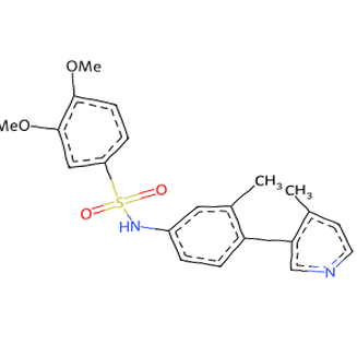 COc1ccc(S(=O)(=O)Nc2ccc(-c3cnccc3C)c(C)c2)cc1OC